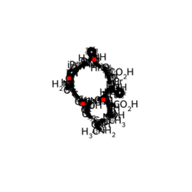 CC(C)[C@@H]1NC(=O)[C@H](Cc2c[nH]c3ccccc23)NC(=O)[C@@H]2CNC3(O)CN(CCN(C3)S(=O)(=O)CCSC[C@H](NC(=O)[C@H](C)N)C(=O)N[C@@H]([C@@H](C)O)C(=O)N[C@@H](CCC(=O)O)C(=O)N2)S(=O)(=O)CCSC[C@@H](C(N)=O)NC(=O)[C@@H]2CCCN2C(=O)[C@H](C(C)C)NC(=O)[C@H](Cc2c[nH]c3ccccc23)NC(=O)CNC(=O)[C@H](CC(=O)O)NC1=O